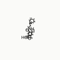 O=C(NCCCN1CCCCC1)c1cc2c(cc1Cl)COB2O